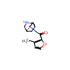 Cc1ccoc1C(=O)N1CC2CCC(C1)NC2